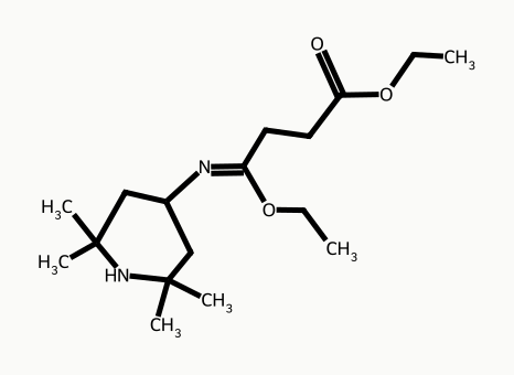 CCOC(=O)CCC(=NC1CC(C)(C)NC(C)(C)C1)OCC